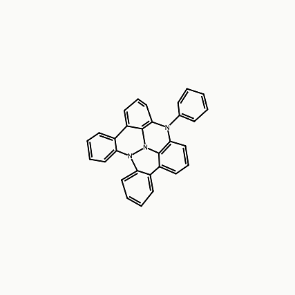 c1ccc(-n2c3cccc4c3N3c5c(cccc52)c2ccccc2n3c2ccccc42)cc1